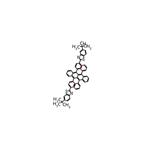 CC(C)(C)c1ccc2sc(-c3ccc(-c4c5ccccc5c(-c5ccc(-c6nc7ccc(C(C)(C)C)cc7s6)cc5)c5c(-c6ccccc6)c6ccccc6c(-c6ccccc6)c45)cc3)nc2c1